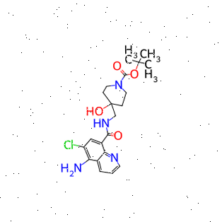 CC(C)(C)OC(=O)N1CCC(O)(CNC(=O)c2cc(Cl)c(N)c3cccnc23)CC1